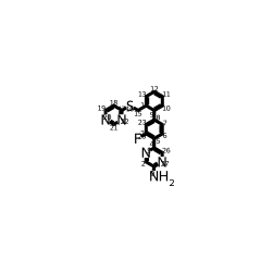 Nc1cnc(-c2ccc(-c3ccccc3CSc3ccncn3)cc2F)cn1